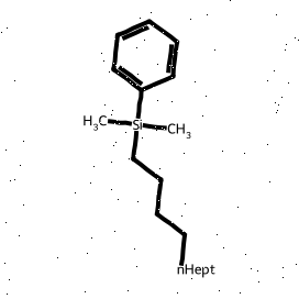 CCCCCCCCCC[CH][Si](C)(C)c1ccccc1